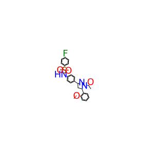 COc1ccccc1C1CC(c2ccc(NS(=O)(=O)c3ccc(F)cc3)cc2)=NN1C(C)=O